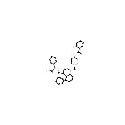 COc1ccccc1C(=O)NC1CCN(C(=O)[C@H]2CC[C@@](C(=O)N[C@H](C(=O)OC(C)(C)C)c3ccccc3)(c3ccccc3)c3ccccc32)CC1